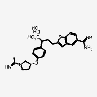 CC(=N)N1CC[C@H](Oc2ccc(C(CCc3cc4cc(C(=N)N)ccc4s3)C(=O)O)cc2)C1.Cl.Cl